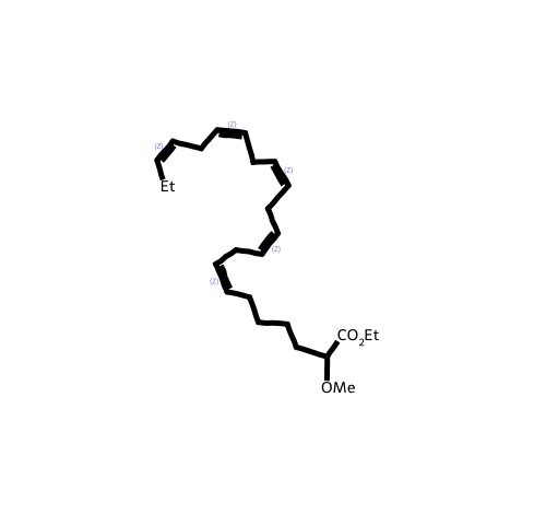 CC/C=C\C/C=C\C/C=C\C/C=C\C/C=C\CCCCC(OC)C(=O)OCC